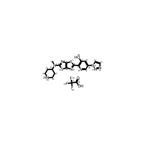 CN(c1nc2sc(-c3ncc(-n4ccnn4)cc3O)nc2s1)C1CCNCC1.O=C(O)C(F)(F)F